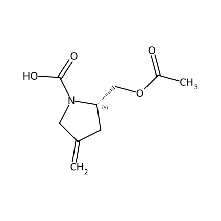 C=C1C[C@@H](COC(C)=O)N(C(=O)O)C1